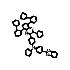 c1ccc(-c2ccccc2-c2ccc(-c3ccccc3-c3ccccc3)c3nc(-c4ccc(N(c5ccccc5)c5ccc(-c6nc7ccccc7o6)cc5)cc4)c(-c4ccccc4)nc23)cc1